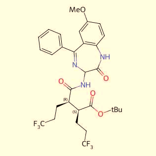 COc1ccc2c(c1)C(c1ccccc1)=NC(NC(=O)[C@H](CCC(F)(F)F)[C@H](CCC(F)(F)F)C(=O)OC(C)(C)C)C(=O)N2